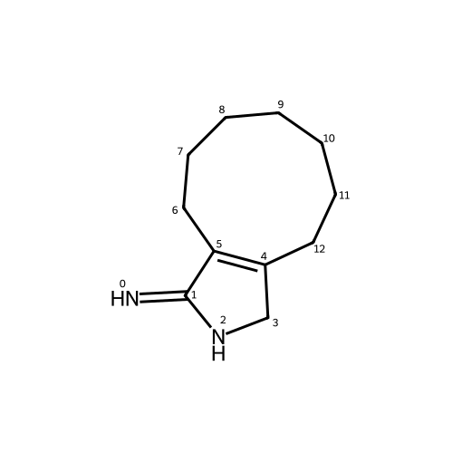 N=C1NCC2=C1CCCCCCC2